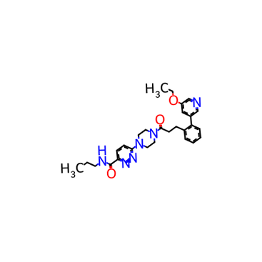 CCCNC(=O)c1ccc(N2CCN(C(=O)CCc3ccccc3-c3cncc(OCC)c3)CC2)nn1